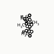 Cc1cc(N(C2=CCC(F)CC2)C2=CCCC3c4ccccc4C(C)(C)C23)c2c3c1CCC1C(N(C4=CCC(F)C=C4)C4CCCC5c6ccccc6C(C)(C)C54)=CC4=C(C31)C(C2)C(C)(C)CC4